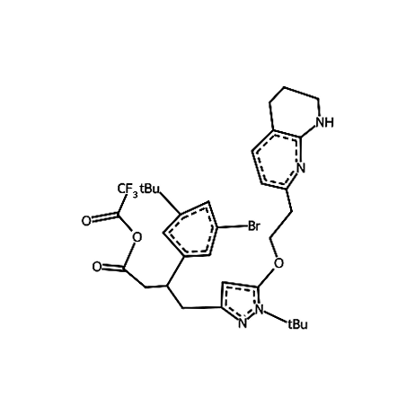 CC(C)(C)c1cc(Br)cc(C(CC(=O)OC(=O)C(F)(F)F)Cc2cc(OCCc3ccc4c(n3)NCCC4)n(C(C)(C)C)n2)c1